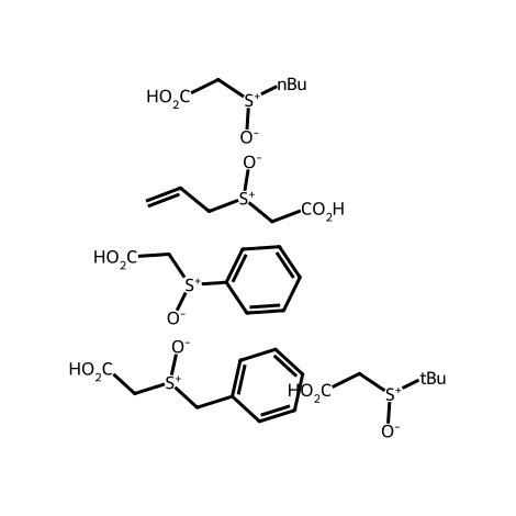 C=CC[S+]([O-])CC(=O)O.CC(C)(C)[S+]([O-])CC(=O)O.CCCC[S+]([O-])CC(=O)O.O=C(O)C[S+]([O-])Cc1ccccc1.O=C(O)C[S+]([O-])c1ccccc1